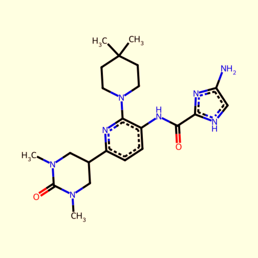 CN1CC(c2ccc(NC(=O)c3nc(N)c[nH]3)c(N3CCC(C)(C)CC3)n2)CN(C)C1=O